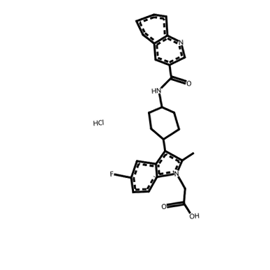 Cc1c(C2CCC(NC(=O)c3cnc4ccccc4c3)CC2)c2cc(F)ccc2n1CC(=O)O.Cl